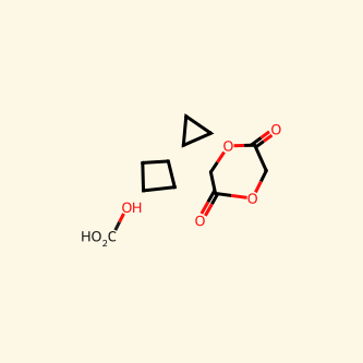 C1CC1.C1CCC1.O=C(O)O.O=C1COC(=O)CO1